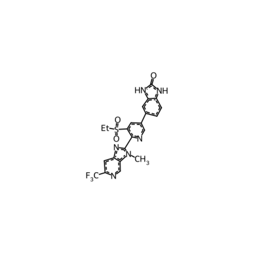 CCS(=O)(=O)c1cc(-c2ccc3[nH]c(=O)[nH]c3c2)cnc1-c1nc2cc(C(F)(F)F)ncc2n1C